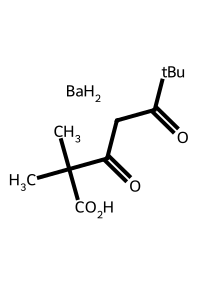 CC(C)(C)C(=O)CC(=O)C(C)(C)C(=O)O.[BaH2]